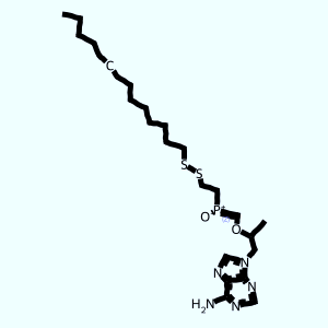 CCCCCCCCCCCCCCSSCC/[P+]([O-])=C/OC(C)Cn1cnc2c(N)ncnc21